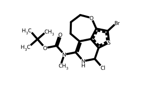 CN(C(=O)OC(C)(C)C)C1=C2CCCOc3c(Br)sc(c32)C(Cl)N1